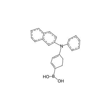 OB(O)C1=CC=C(N(c2ccccc2)c2ccc3ccccc3c2)CC1